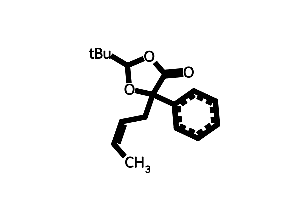 C/C=C\CC1(c2ccccc2)OC(C(C)(C)C)OC1=O